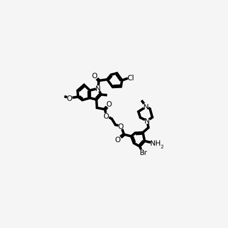 COc1ccc2c(c1)c(CC(=O)OCCOC(=O)c1cc(Br)c(N)c(CN3CCN(C)CC3)c1)c(C)n2C(=O)c1ccc(Cl)cc1